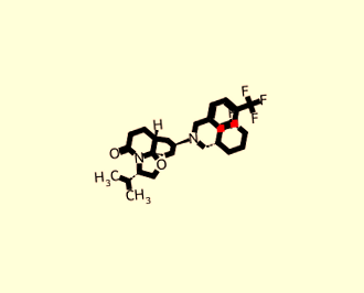 CC(C)[C@H]1CO[C@]23CC[C@H](N(Cc4ccc(C(F)(F)F)cc4)C[C@H]4CCCNC4)C[C@H]2CCC(=O)N13